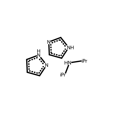 CC(C)NC(C)C.c1c[nH]cn1.c1cn[nH]c1